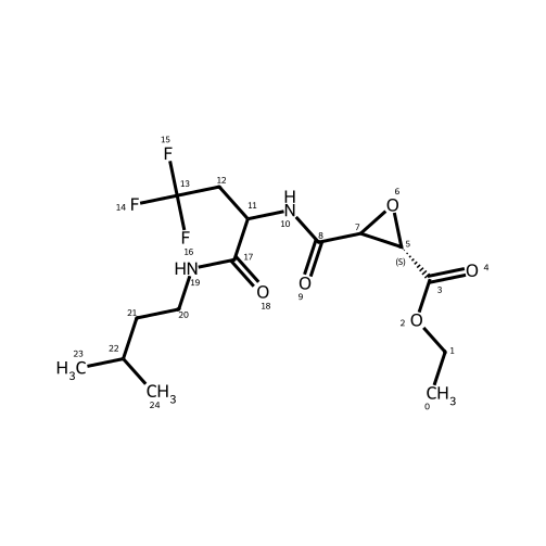 CCOC(=O)[C@H]1OC1C(=O)NC(CC(F)(F)F)C(=O)NCCC(C)C